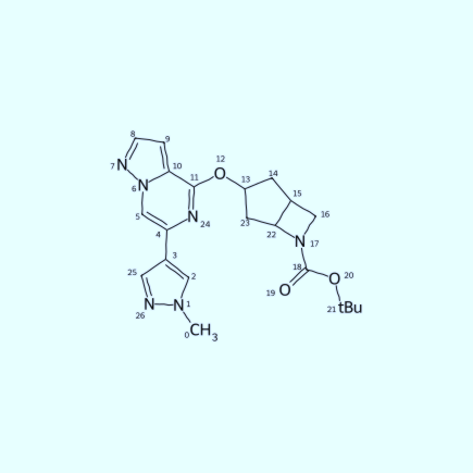 Cn1cc(-c2cn3nccc3c(OC3CC4CN(C(=O)OC(C)(C)C)C4C3)n2)cn1